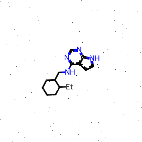 CCC1CCCCC1CNc1ncnc2[nH]ccc12